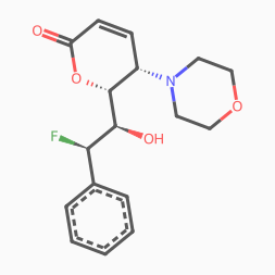 O=C1C=C[C@H](N2CCOCC2)[C@H]([C@@H](O)[C@H](F)c2ccccc2)O1